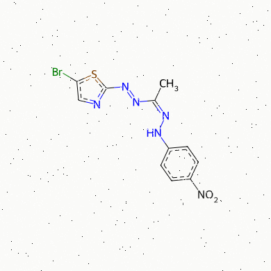 CC(N=Nc1ncc(Br)s1)=NNc1ccc([N+](=O)[O-])cc1